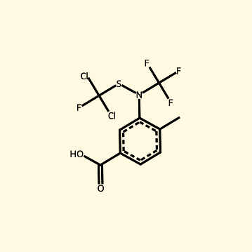 Cc1ccc(C(=O)O)cc1N(SC(F)(Cl)Cl)C(F)(F)F